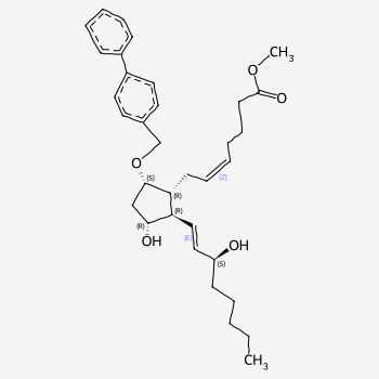 CCCCC[C@H](O)/C=C/[C@@H]1[C@@H](C/C=C\CCCC(=O)OC)[C@@H](OCc2ccc(-c3ccccc3)cc2)C[C@H]1O